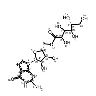 Nc1nc2c(ncn2[C@@H]2O[C@H](COC(=O)[C@H](O)[C@@H](O)[C@H](O)[C@H](O)CO)[C@@H](O)[C@H]2O)c(=O)[nH]1